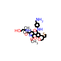 COC(=O)c1nc(C(=O)NC(C)(C)CCO)ccc1-c1cc2c(cc1C(=O)Nc1ccc(CN)cc1)-c1sccc1CCO2